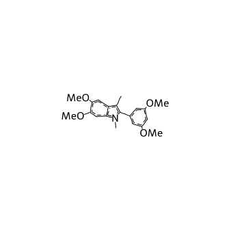 COc1cc(OC)cc(-c2c(C)c3cc(OC)c(OC)cc3n2C)c1